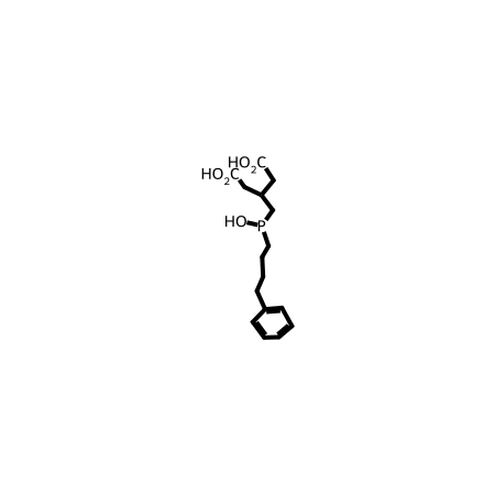 O=C(O)CC(CC(=O)O)CP(O)CCCCc1ccccc1